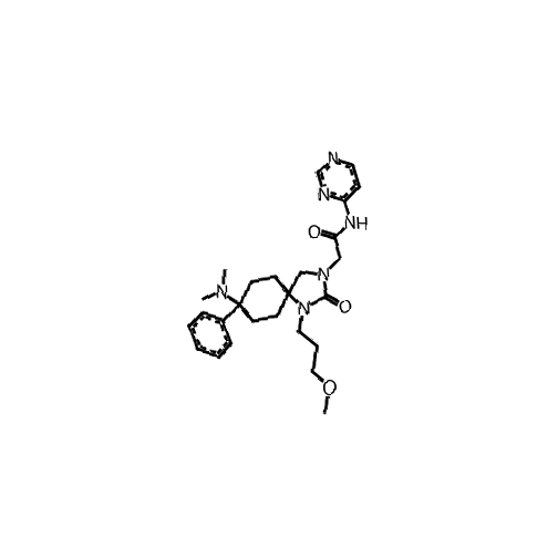 COCCCN1C(=O)N(CC(=O)Nc2ccncn2)CC12CCC(c1ccccc1)(N(C)C)CC2